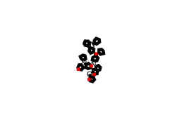 c1ccc(N(c2ccc(N(c3ccc4c5ccccc5n(-c5ccccc5)c4c3)c3cccc4cc5c(cc34)oc3ccccc35)cc2)c2ccc3c4ccccc4n(-c4ccccc4)c3c2)cc1